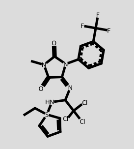 CCS1(NC(N=C2C(=O)N(C)C(=O)N2c2cccc(C(F)(F)F)c2)C(Cl)(Cl)Cl)C=CC=C1